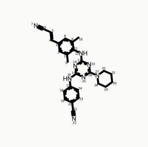 Cc1cc(C=CC#N)cc(C)c1Nc1nc(Nc2ccc(C#N)cc2)nc(N2CCCCC2)n1